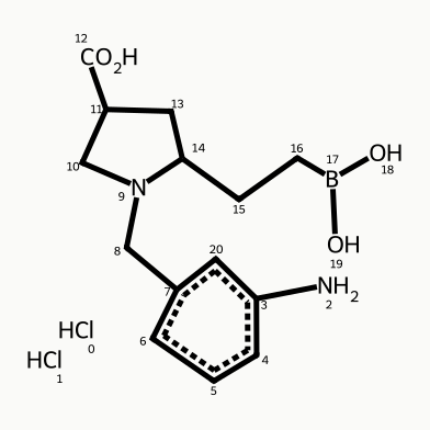 Cl.Cl.Nc1cccc(CN2CC(C(=O)O)CC2CCB(O)O)c1